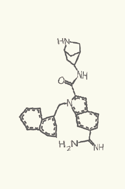 N=C(N)c1ccc2cc(C(=O)NC3CC4CC3CN4)n(Cc3cccc4ccccc34)c2c1